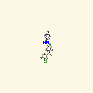 C=C(c1ccc(F)c(Cl)c1)N1CCC(F)(CNCc2ncc(C)cn2)CC1